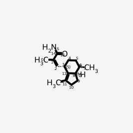 CC(=C[C@@H]1CC[C@@H](C)[C@H]2CCC(C)=C12)C(N)=O